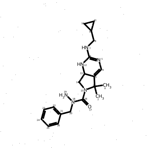 CC1(C)C2=CN=C(NCC3CC3)NC2CN1C(=O)N(N)Cc1ccccc1